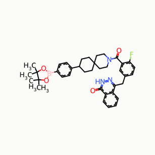 CC1(C)OB(c2ccc(C3CCC4(CC3)CCN(C(=O)c3cc(Cc5n[nH]c(=O)c6ccccc56)ccc3F)CC4)cc2)OC1(C)C